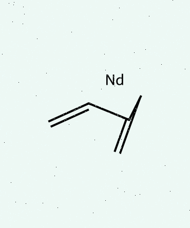 C=CC(=C)C.[Nd]